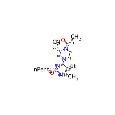 C=CC(=O)N1CCN(c2nc(OCCCCC)nc(C)c2CC)CC1CC#N